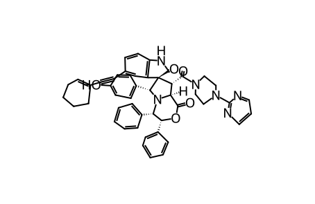 O=C1O[C@H](c2ccccc2)[C@H](c2ccccc2)N2[C@H]1[C@@H](C(=O)N1CCN(c3ncccn3)CC1)[C@]1(C(=O)Nc3ccc(C#CC4=CCCCC4)cc31)[C@H]2c1ccc(O)cc1